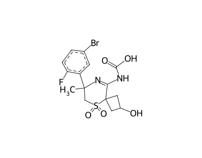 CC1(c2cc(Br)ccc2F)CS(=O)(=O)C2(CC(O)C2)C(NC(=O)O)=N1